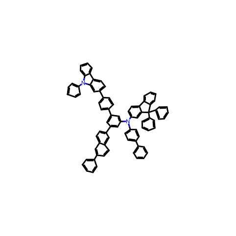 c1ccc(-c2ccc(N(c3cc(-c4ccc(-c5ccc6c7ccccc7n(-c7ccccc7)c6c5)cc4)cc(-c4ccc5cc(-c6ccccc6)ccc5c4)c3)c3ccc4c(c3)C(c3ccccc3)(c3ccccc3)c3ccccc3-4)cc2)cc1